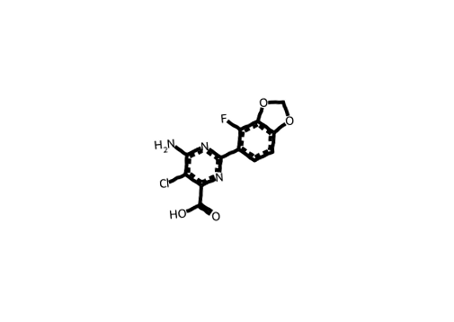 Nc1nc(-c2ccc3c(c2F)OCO3)nc(C(=O)O)c1Cl